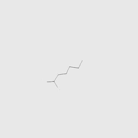 CCCCCCCC(P)Br